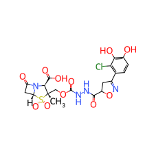 C[C@]1(COC(=O)NNC(=O)C2CC(c3ccc(O)c(O)c3Cl)=NO2)[C@H](C(=O)O)N2C(=O)C[C@H]2S1(=O)=O